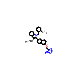 CCCCCc1c(-c2ccc3cc(OCc4nnn[nH]4)ccc3c2)n(Cc2ccccc2C(F)(F)F)c2ccccc12